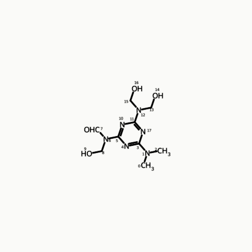 CN(C)c1nc(N(C=O)CO)nc(N(CO)CO)n1